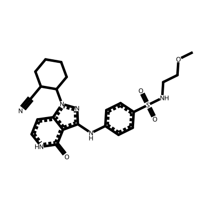 COCCNS(=O)(=O)c1ccc(Nc2nn(C3CCCCC3C#N)c3cc[nH]c(=O)c23)cc1